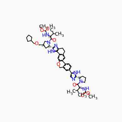 COC(=O)N[C@H](C(=O)N1CCC[C@H]1c1ncc(-c2ccc3c(c2)COc2cc4c(cc2-3)CCc2nc([C@@H]3C[C@@H](COCC5CCCC5)CN3C(=O)[C@@H](NC(=O)OC)C(C)C)[nH]c2-4)[nH]1)C(C)C